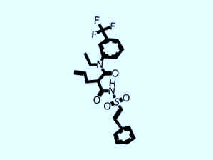 C=CCC(C(=O)NS(=O)(=O)/C=C/c1ccccc1)C(=O)N(CC)c1cccc(C(F)(F)F)c1